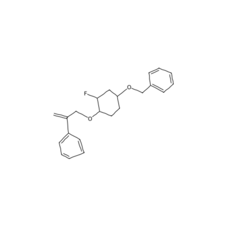 C=C(COC1CCC(OCc2ccccc2)CC1F)c1ccccc1